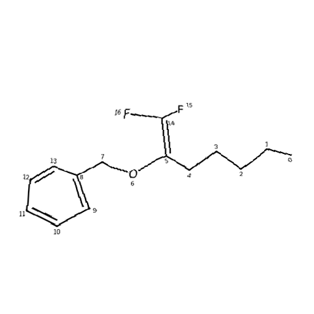 CCCCCC(OCc1ccccc1)=C(F)F